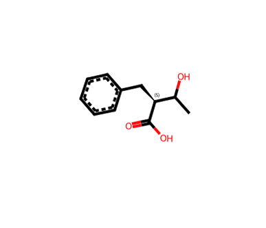 CC(O)[C@H](Cc1ccccc1)C(=O)O